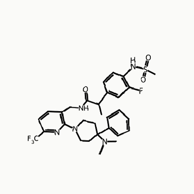 CC(C(=O)NCc1ccc(C(F)(F)F)nc1N1CCC(c2ccccc2)(N(C)C)CC1)c1ccc(NS(C)(=O)=O)c(F)c1